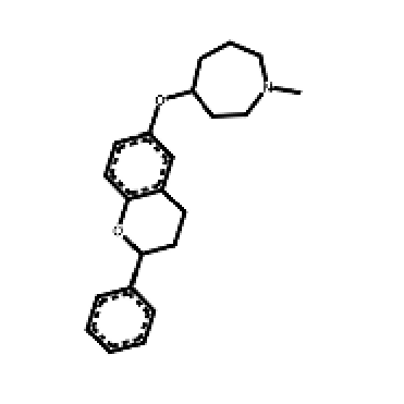 CN1CCCC(Oc2ccc3c(c2)CCC(c2ccccc2)O3)CC1